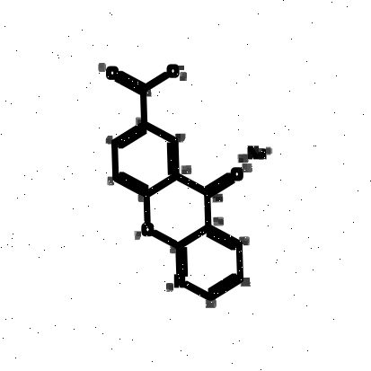 O=C([O-])c1ccc2oc3ncccc3c(=O)c2c1.[Na+]